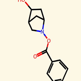 O=C(ON1CC2CC1CC2O)c1ccccc1